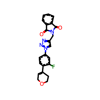 O=C1c2ccccc2C(=O)N1Cc1cn(-c2ccc(C3=CCOCC3)c(F)c2)nn1